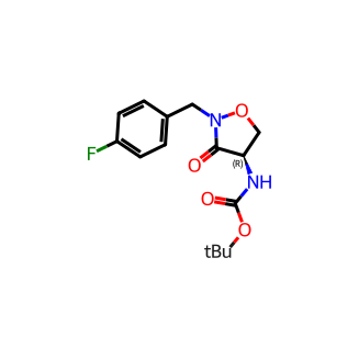 CC(C)(C)OC(=O)N[C@@H]1CON(Cc2ccc(F)cc2)C1=O